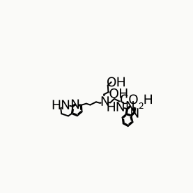 O=C(O)C(CCN(CCCCc1ccc2c(n1)NCCC2)CC(O)CO)Nc1ncnc2ccccc12